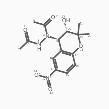 CC(=O)NN(C(C)=O)[C@@H]1c2cc([N+](=O)[O-])ccc2OC(C)(C)[C@H]1O